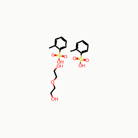 Cc1ccccc1S(=O)(=O)O.Cc1ccccc1S(=O)(=O)O.OCCOCCO